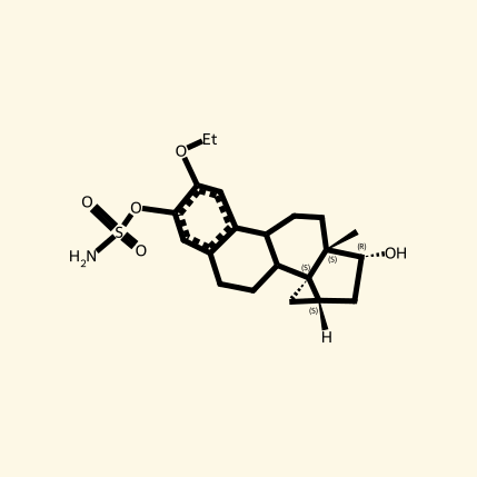 CCOc1cc2c(cc1OS(N)(=O)=O)CCC1C2CC[C@]2(C)[C@H](O)C[C@@H]3C[C@@]132